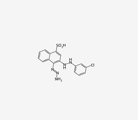 NN=Nc1c(NNc2cccc(Cl)c2)cc(S(=O)(=O)O)c2ccccc12